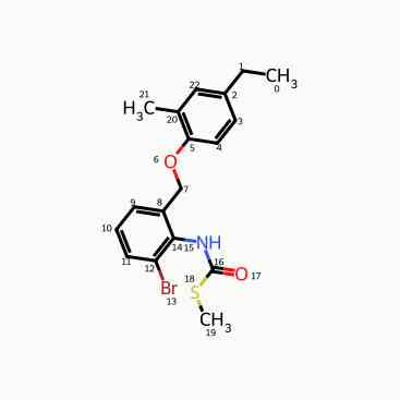 CCc1ccc(OCc2cccc(Br)c2NC(=O)SC)c(C)c1